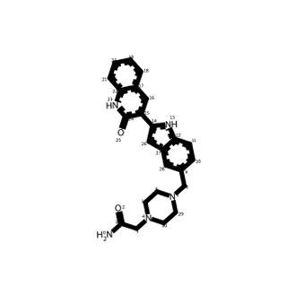 NC(=O)CN1CCN(Cc2ccc3[nH]c(-c4cc5ccccc5[nH]c4=O)cc3c2)CC1